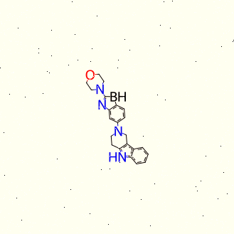 B1C(N2CCOCC2)=Nc2cc(N3CCc4[nH]c5ccccc5c4C3)ccc21